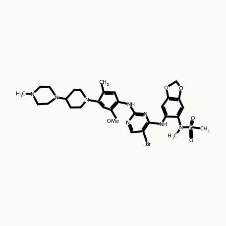 COc1cc(N2CCC(N3CCN(C)CC3)CC2)c(C)cc1Nc1ncc(Br)c(Nc2cc3c(cc2N(C)S(C)(=O)=O)OCO3)n1